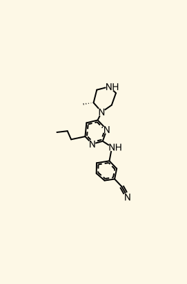 CCCc1cc(N2CCNC[C@H]2C)nc(Nc2cccc(C#N)c2)n1